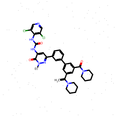 C=C(c1cc(C(=O)N2CCCCC2)cc(-c2cccc(-c3cc(NC(=O)Nc4c(Cl)cncc4Cl)c(=O)n(CC)n3)c2)c1)N1CCCCC1